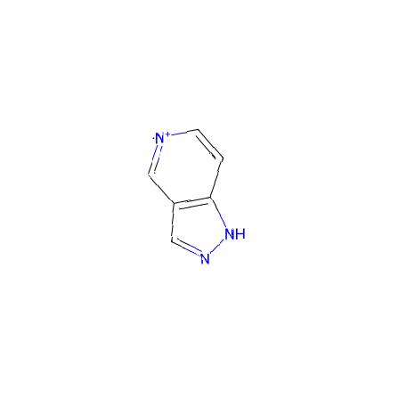 C1=Cc2[nH]ncc2C=[N+]1